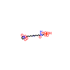 O=C(CCC/C=C/CCCCC(=O)ON1C(=O)CCC1=O)NCCOP(=O)(O)O